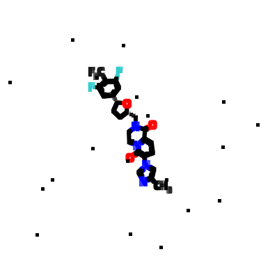 Cc1cn(-c2ccc3n(c2=O)CCN(C[C@@H]2CC[C@H](c4cc(F)c(C(F)(F)F)c(F)c4)O2)C3=O)cn1